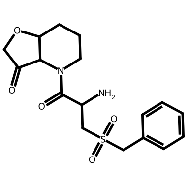 NC(CS(=O)(=O)Cc1ccccc1)C(=O)N1CCCC2OCC(=O)C21